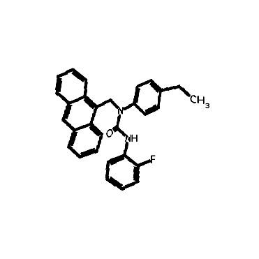 CCc1ccc(N(Cc2c3ccccc3cc3ccccc23)C(=O)Nc2ccccc2F)cc1